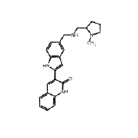 CN1CCCC1CNCc1ccc2[nH]c(-c3cc4ccccc4[nH]c3=O)cc2c1